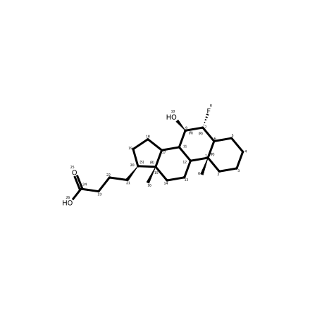 C[C@]12CCCCC1[C@@H](F)[C@H](O)C1C2CC[C@@]2(C)C1CC[C@@H]2CCCC(=O)O